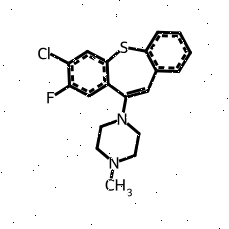 CN1CCN(C2=Cc3ccccc3Sc3cc(Cl)c(F)cc32)CC1